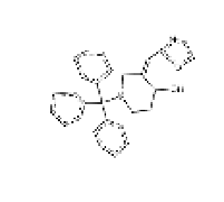 OC1CCN(C(c2ccccc2)(c2ccccc2)c2ccccc2)C/C1=C/c1ncco1